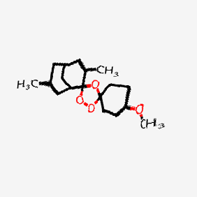 COC1CCC2(CC1)OOC1(O2)C(C)CC2CC(C)CC1C2